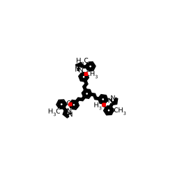 Cc1cccc(C)c1-c1ccnn1-c1ccc(CCc2cc(CCc3ccc(-n4nccc4-c4c(C)cccc4C)cc3)cc(CCc3ccc(-n4nccc4-c4c(C)cccc4C)cc3)c2)cc1